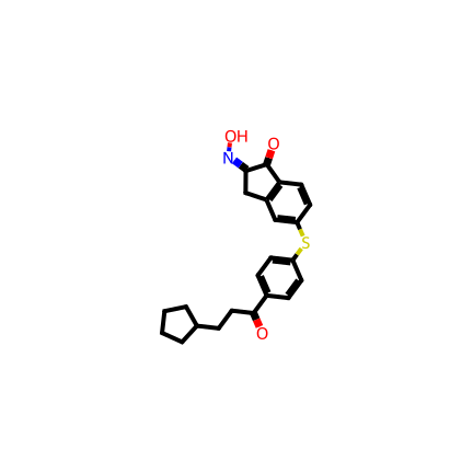 O=C(CCC1CCCC1)c1ccc(Sc2ccc3c(c2)C/C(=N/O)C3=O)cc1